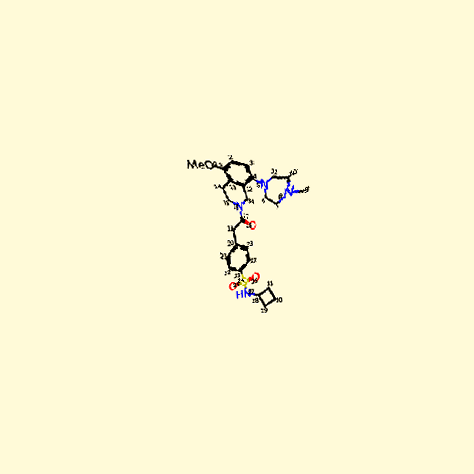 COc1ccc(N2CCN(C)CC2)c2c1CCN(C(=O)Cc1ccc(S(=O)(=O)NC3CCC3)cc1)C2